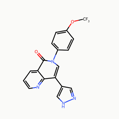 O=c1c2cccnc2c(-c2cn[nH]c2)cn1-c1ccc(OC(F)(F)F)cc1